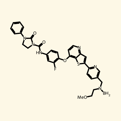 BN(CCOC)Cc1ccc(-c2cc3nccc(Oc4ccc(NC(=O)N5CCN(c6ccccc6)C5=O)cc4F)c3s2)nc1